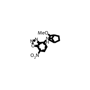 COC1CC2CCC1C2Nc1ccc([N+](=O)[O-])c2onnc12